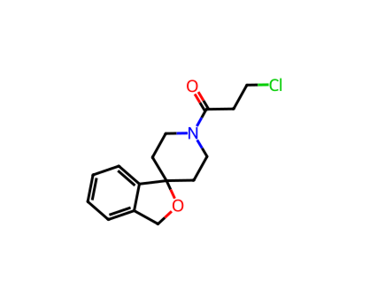 O=C(CCCl)N1CCC2(CC1)OCc1ccccc12